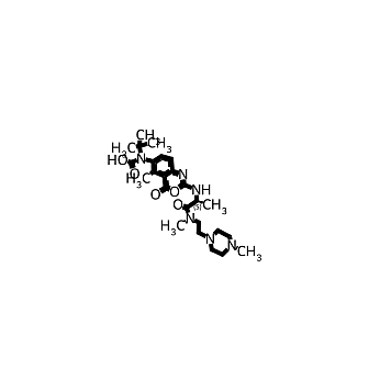 Cc1c(N(C(=O)O)C(C)(C)C)ccc2nc(N[C@@H](C)C(=O)N(C)CCN3CCN(C)CC3)oc(=O)c12